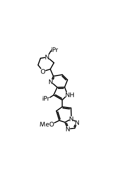 COc1cc(-c2[nH]c3ccc(C4CN(C(C)C)CCO4)nc3c2C(C)C)cn2ncnc12